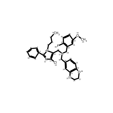 CCCCn1c(-c2ccccc2)nc(Cl)c1CN(Cc1ccc2c(c1)OCCO2)Cc1cc(OC)ccc1F